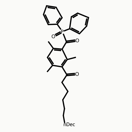 CCCCCCCCCCCCCCCC(=O)c1c(C)cc(C)c(C(=O)P(=O)(c2ccccc2)c2ccccc2)c1C